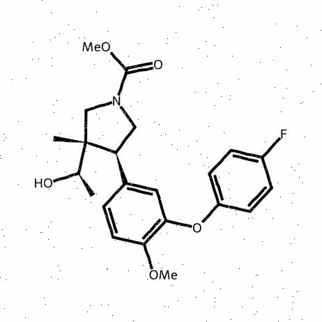 COC(=O)N1C[C@@H](c2ccc(OC)c(Oc3ccc(F)cc3)c2)[C@](C)([C@@H](C)O)C1